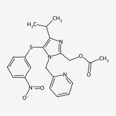 CC(=O)OCc1nc(C(C)C)c(Sc2cccc([N+](=O)[O-])c2)n1Cc1ccccn1